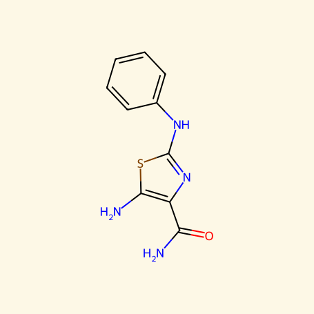 NC(=O)c1nc(Nc2ccccc2)sc1N